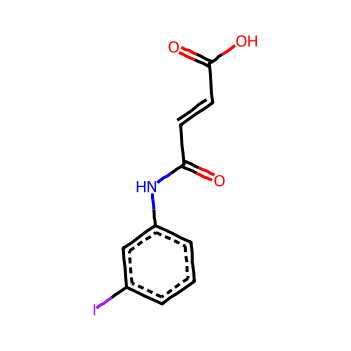 O=C(O)C=CC(=O)Nc1cccc(I)c1